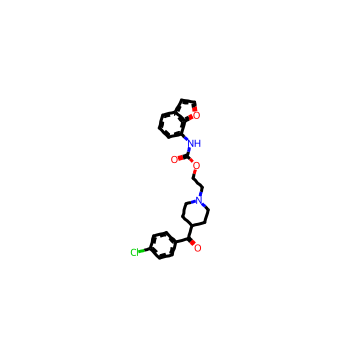 O=C(Nc1cccc2ccoc12)OCCN1CCC(C(=O)c2ccc(Cl)cc2)CC1